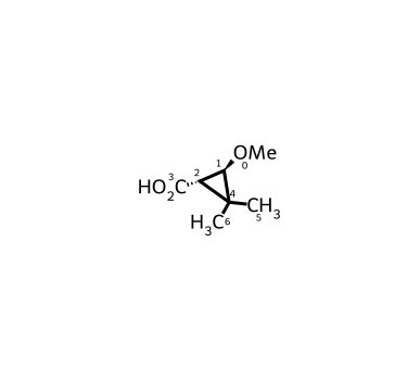 CO[C@@H]1[C@@H](C(=O)O)C1(C)C